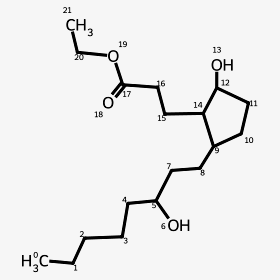 CCCCCC(O)CCC1CCC(O)C1CCC(=O)OCC